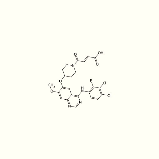 COc1cc2ncnc(Nc3ccc(Cl)c(Cl)c3F)c2cc1OC1CCN(C(=O)C=CC(=O)O)CC1